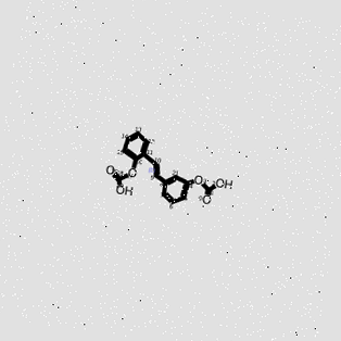 O=C(O)Oc1cccc(/C=C/c2ccccc2OC(=O)O)c1